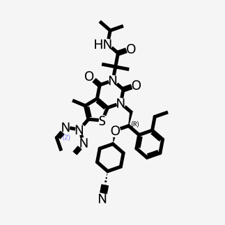 C=NN(/N=C\C)c1sc2c(c1C)c(=O)n(C(C)(C)C(=O)NC(C)C)c(=O)n2C[C@H](O[C@H]1CC[C@@H](C#N)CC1)c1ccccc1CC